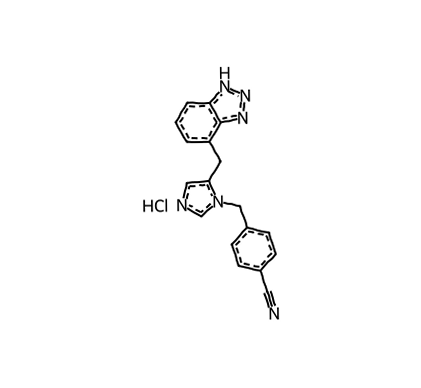 Cl.N#Cc1ccc(Cn2cncc2Cc2cccc3[nH]nnc23)cc1